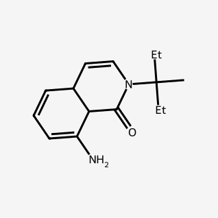 CCC(C)(CC)N1C=CC2C=CC=C(N)C2C1=O